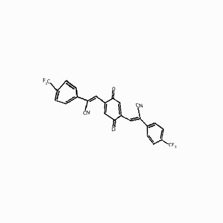 N#C/C(=C\C1=CC(=O)C(/C=C(\C#N)c2ccc(C(F)(F)F)cc2)=CC1=O)c1ccc(C(F)(F)F)cc1